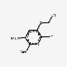 COc1cc(OCC#N)c(C(C)C)nc1OC